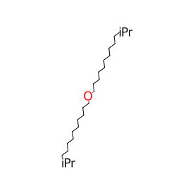 CC(C)CCCCCCCCCCOCCCCCCCCCCC(C)C